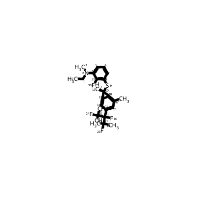 CCN(C)c1cccc(SC2(C)c3cc(C(F)(C(C)(C)F)C(C)(C)F)cc(C)c32)c1F